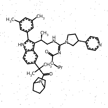 Cc1cc(C)cc(-c2[nH]c3ccc(C(C)(C)C(=O)N4C5CCC4CC5)cc3c2[C@@H](C)CN/C(=N\C(=O)OC(C)C)N2CCC(c3ccncc3)C2)c1